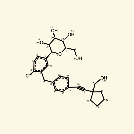 OC[C@H]1O[C@@H](c2ccc(Cl)c(Cc3ccc(C#CC4(CO)CCCC4)cc3)c2)C(O)[C@@H](O)[C@@H]1O